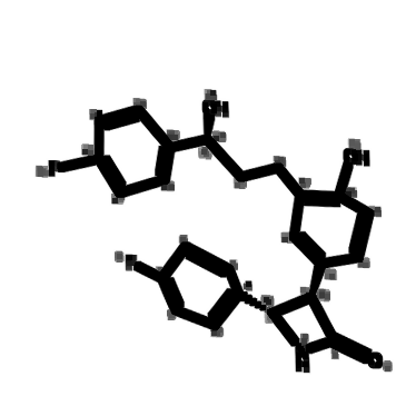 O=C1N[C@H](c2ccc(F)cc2)[C@H]1c1ccc(O)c(CC[C@H](O)c2ccc(F)cc2)c1